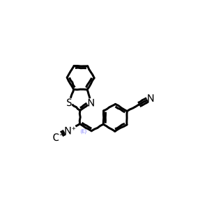 [C-]#[N+]/C(=C/c1ccc(C#N)cc1)c1nc2ccccc2s1